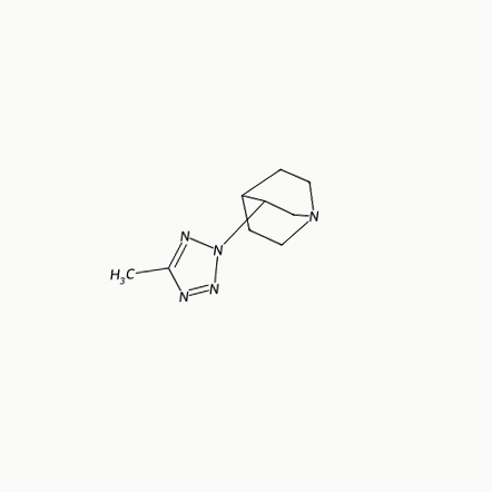 Cc1nnn(C2CN3CCC2CC3)n1